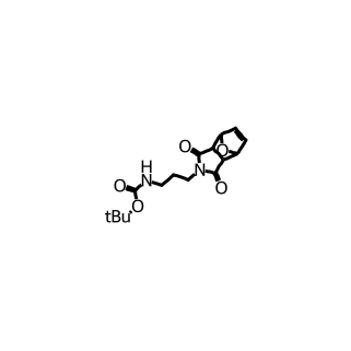 CC(C)(C)OC(=O)NCCCN1C(=O)C2C3C=CC(O3)C2C1=O